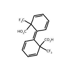 O=C(O)C1(C(F)(F)F)C=CC=C/C1=C1/C=CC=CC1(C(=O)O)C(F)(F)F